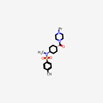 CC(C)N1CCN(C(=O)[C@H]2CC[C@H](N(C)S(=O)(=O)c3ccc(C#N)cc3)CC2)CC1